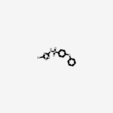 CCc1nsc(NS(=O)(=O)c2ccc(Oc3ccccc3)cc2)n1